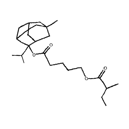 CCC(C)C(=O)OCCCCC(=O)OC1(C(C)C)C2CC3CC1CC(C)(C3)C2